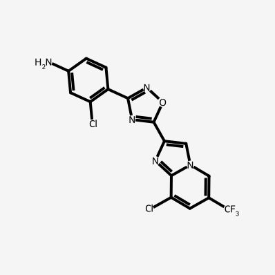 Nc1ccc(-c2noc(-c3cn4cc(C(F)(F)F)cc(Cl)c4n3)n2)c(Cl)c1